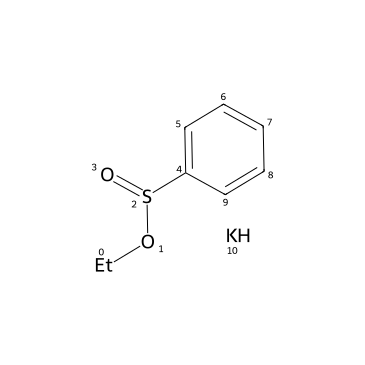 CCOS(=O)c1ccccc1.[KH]